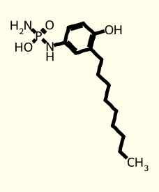 CCCCCCCCCc1cc(NP(N)(=O)O)ccc1O